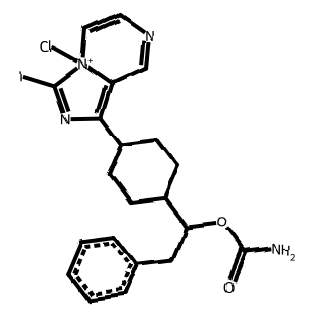 NC(=O)OC(Cc1ccccc1)C1CCC(C2=C3C=NC=C[N+]3(Cl)C(I)=N2)CC1